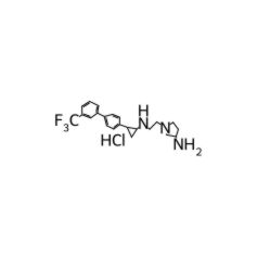 Cl.N[C@H]1CCN(CCNC2CC2c2ccc(-c3cccc(C(F)(F)F)c3)cc2)C1